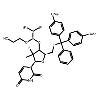 COc1ccc(C(OC[C@H]2O[C@@H](n3ccc(=O)[nH]c3=O)C(C)(F)C2OP(OCCC#N)N(C(C)C)C(C)C)(c2ccccc2)c2ccc(OC)cc2)cc1